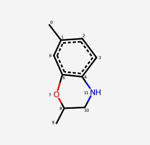 Cc1ccc2c(c1)OC(C)CN2